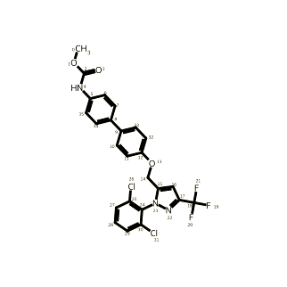 COC(=O)Nc1ccc(-c2ccc(OCc3cc(C(F)(F)F)nn3-c3c(Cl)cccc3Cl)cc2)cc1